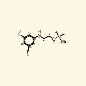 CC(C)(C)[Si](C)(C)OCCNc1cc(F)cc(F)c1